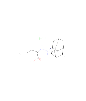 CCC(NNC12CC3CC(CC(C3)C1)C2)C(=O)O.Cl